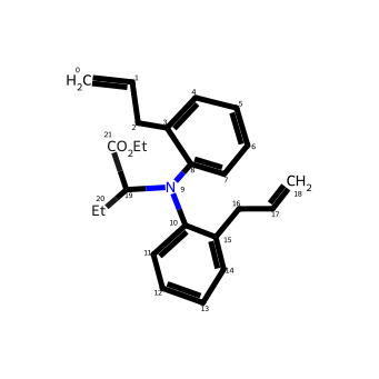 C=CCc1ccccc1N(c1ccccc1CC=C)C(CC)C(=O)OCC